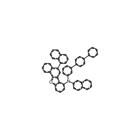 c1ccc(-c2ccc(-c3cccc(N(c4ccc5ccccc5c4)c4cccc5oc6c7ccccc7c(-c7cccc8ccccc78)cc6c45)c3)cc2)cc1